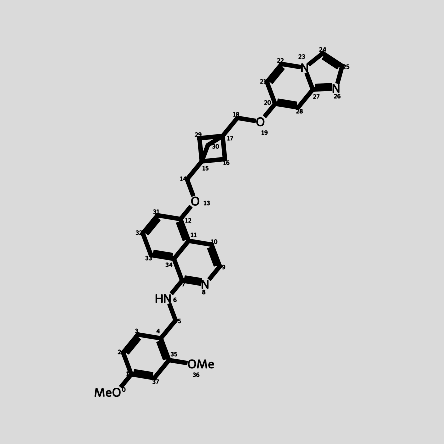 COc1ccc(CNc2nccc3c(OCC45CC(COc6ccn7ccnc7c6)(C4)C5)cccc23)c(OC)c1